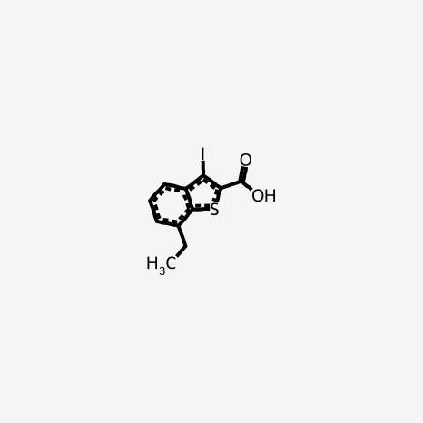 CCc1cccc2c(I)c(C(=O)O)sc12